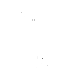 Cc1nc(C2CC3(CCN(C(=O)C4CC5(COC(=O)N5)C4)CC3)C2)ccc1F